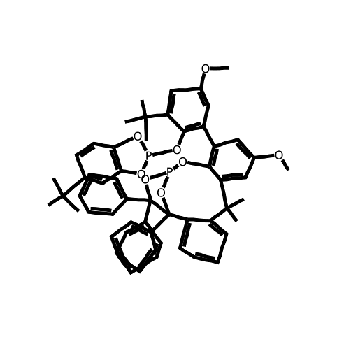 COc1cc(-c2cc(OC)cc3c2OP2OC(c4ccccc4)(c4ccccc4)C(c4ccccc4)(O2)c2ccccc2C3(C)C)c(OP2Oc3ccc(C(C)(C)C)cc3O2)c(C(C)(C)C)c1